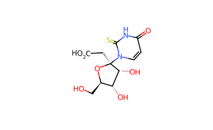 O=C(O)C[C@@]1(n2ccc(=O)[nH]c2=S)O[C@H](CO)[C@@H](O)[C@H]1O